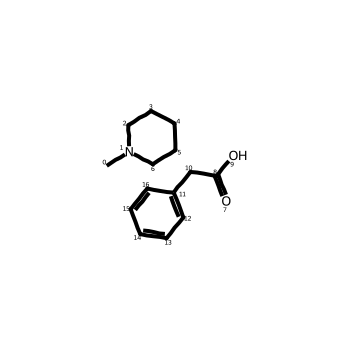 CN1CCCCC1.O=C(O)Cc1ccccc1